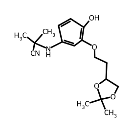 CC(C)(C#N)Nc1ccc(O)c(OCCC2COC(C)(C)O2)c1